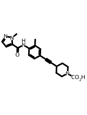 Cc1cc(C#CC2CCN(C(=O)O)CC2)ccc1NC(=O)c1ccnn1C